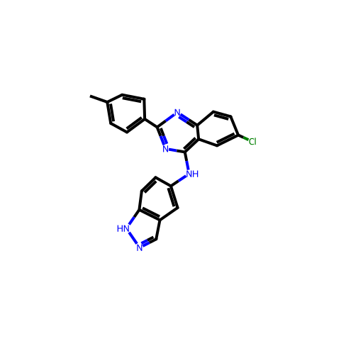 Cc1ccc(-c2nc(Nc3ccc4[nH]ncc4c3)c3cc(Cl)ccc3n2)cc1